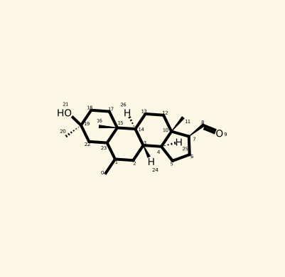 CC1C[C@H]2[C@@H]3CC[C@H](C=O)[C@@]3(C)CC[C@@H]2[C@@]2(C)CC[C@](C)(O)CC12